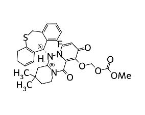 COC(=O)OCOc1c2n(ccc1=O)N([C@@H]1C3=C(CCC=C3)SCc3cccc(F)c31)[C@@H]1CC(C)(C)CCN1C2=O